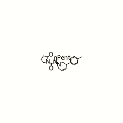 CCCCCN(C(=O)N1CCCC1=O)N1CC=CC(c2ccc(C)cc2)C1